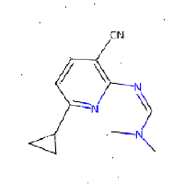 CN(C)/C=N\c1nc(C2CC2)ccc1C#N